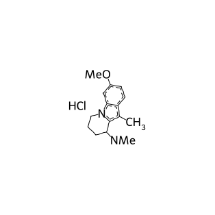 CNC1CCCn2c1c(C)c1ccc(OC)cc12.Cl